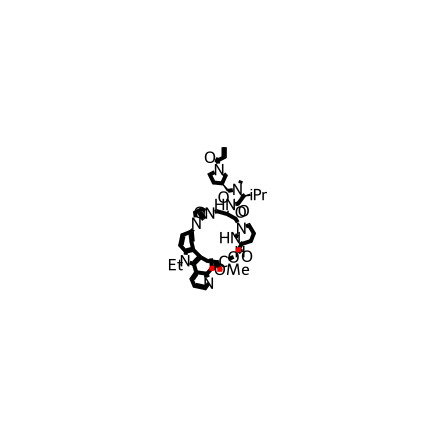 C=CC(=O)N1CC[C@H](C(=O)N(C)[C@H](C(=O)N[C@H]2CN3CCN(C3=O)c3ccc4c(c3)c(c(-c3cccnc3[C@H](C)OC)n4CC)CC(C)(C)COC(=O)[C@@H]3CCCN(N3)C2=O)C(C)C)C1